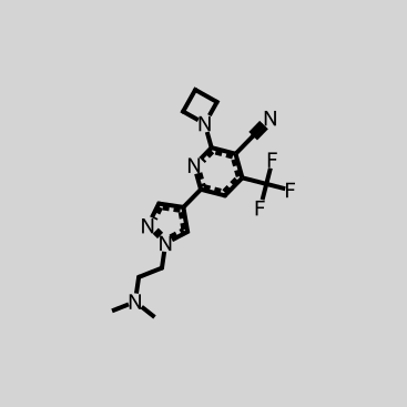 CN(C)CCn1cc(-c2cc(C(F)(F)F)c(C#N)c(N3CCC3)n2)cn1